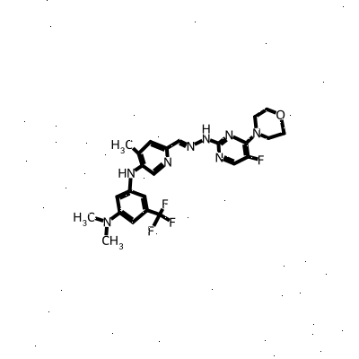 Cc1cc(/C=N/Nc2ncc(F)c(N3CCOCC3)n2)ncc1Nc1cc(N(C)C)cc(C(F)(F)F)c1